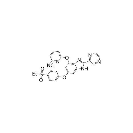 CCS(=O)(=O)c1ccc(Oc2cc(Oc3cccc(C#N)n3)c3nc(-c4cnccn4)[nH]c3c2)cc1